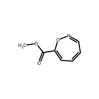 COC(=O)C1=CC=CC=NO1